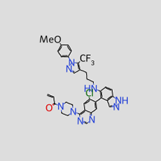 C=CC(=O)N1CCN(c2ncnc3cc(-c4c(NCCCc5cnn(-c6ccc(OC)cc6)c5C(F)(F)F)ccc5[nH]ncc45)c(Cl)cc23)CC1